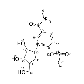 CN(C)C(=O)c1ccc[n+](C2CC(CO)C(O)C2O)c1.CS(=O)(=O)[O-]